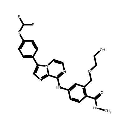 CNC(=O)c1ccc(Nc2nccn3c(-c4ccc(OC(F)F)cc4)cnc23)cc1COCCO